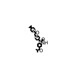 CC(C)C(=O)c1ccc2c(c1)[nH]c(=O)n2C1CCN(CC(=O)N2CCC3(CC2)CC3)CC1